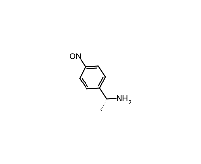 C[C@@H](N)c1ccc(N=O)cc1